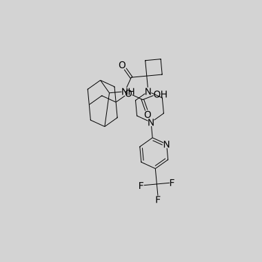 O=C(O)OC12CC3CC(C1)C(NC(=O)C1(N4CCN(c5ccc(C(F)(F)F)cn5)CC4)CCC1)C(C3)C2